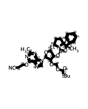 CC[C@H]1O[C@@H](n2cnc3c(OCCC#N)nc(C)nc32)C(OCOC(=O)C(C)(C)C)[C@H]1O[P@]1O[C@@](C)(c2ccccc2)[C@H]2CCCN21